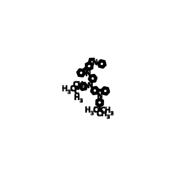 CC(C)(C)c1ccc(N(c2cccc(-n3c4ccccc4c4cc5ccn(-c6ccccc6)c5cc43)c2)c2ccc3c(c2)c2ccccc2n3-c2ccc(C(C)(C)C)cc2)cc1